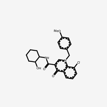 COc1ccc(Cn2cc(C(=O)NC3CCCCC3O)c(=O)c3cccc(Cl)c32)cc1